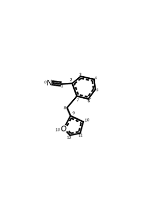 N#Cc1ccc[c]c1Cc1ccco1